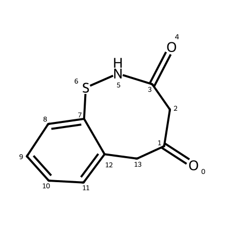 O=C1CC(=O)NSc2ccccc2C1